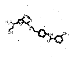 Cc1cccc(C(=O)Nc2ccc(CCNc3ncnc4cc(N(C)CCO)sc34)cc2)c1